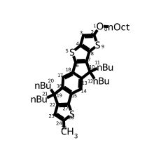 CCCCCCCCOc1cc2sc3c(c2s1)C(CCCC)(CCCC)c1cc2c(cc1-3)C(CCCC)(CCCC)c1cc(C)sc1-2